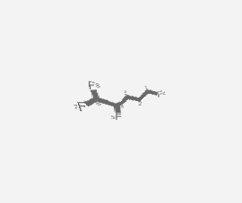 FCCCC(F)[C](F)F